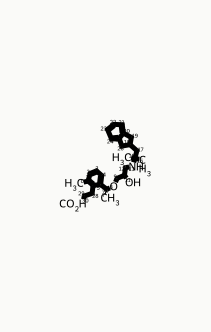 Cc1cccc([C@@H](C)OCC(O)CNC(C)(C)CC2Cc3ccccc3C2)c1CCC(=O)O